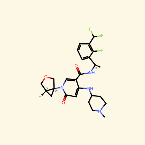 C[C@@H](NC(=O)c1cn([C@]23COC[C@H]2C3)c(=O)cc1NC1CCN(C)CC1)c1cccc(C(F)F)c1F